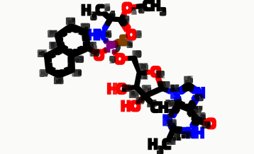 COC(=O)C(C)NP(=S)(OC[C@H]1O[C@@H](n2cnc3c(=O)[nH]c(C)nc32)C(C)(O)C1O)Oc1cccc2ccccc12